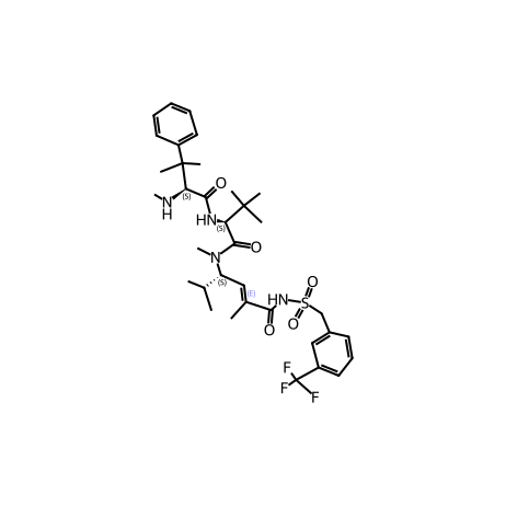 CN[C@H](C(=O)N[C@H](C(=O)N(C)[C@H](/C=C(\C)C(=O)NS(=O)(=O)Cc1cccc(C(F)(F)F)c1)C(C)C)C(C)(C)C)C(C)(C)c1ccccc1